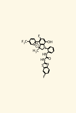 CC1(C)CN(c2ccccc2NC(=O)Nc2nc3ccc(F)cc3s2)c2c(O)cc(F)c(-c3ccc(C(F)(F)F)cn3)c21